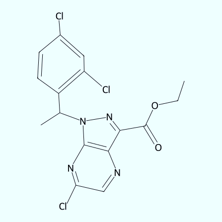 CCOC(=O)c1nn(C(C)c2ccc(Cl)cc2Cl)c2nc(Cl)cnc12